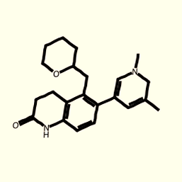 CC1=CC(c2ccc3c(c2CC2CCCCO2)CCC(=O)N3)=CN(C)C1